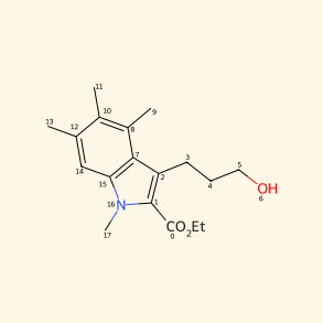 CCOC(=O)c1c(CCCO)c2c(C)c(C)c(C)cc2n1C